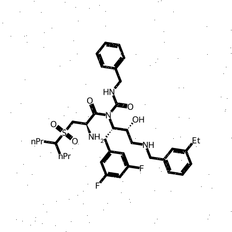 CCCC(CCC)S(=O)(=O)C[C@H](N)C(=O)N(C(=O)NCc1ccccc1)[C@@H](Cc1cc(F)cc(F)c1)[C@H](O)CNCc1cccc(CC)c1